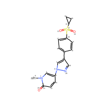 CCCn1cc(-n2cc(-c3ccc(S(=O)(=O)C4CC4)cc3)cn2)ccc1=O